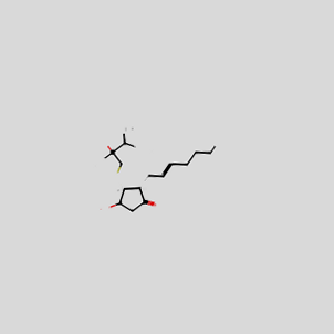 CCCCC(C)C(C)(O)CS[C@H]1C(O)CC(=O)[C@@H]1CC=CCCCC(=O)O